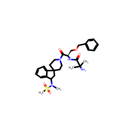 CN(C1CC2(CCN(C(=O)[C@@H](COCc3ccccc3)NC(=O)C(C)(C)N)CC2)c2ccccc21)S(C)(=O)=O